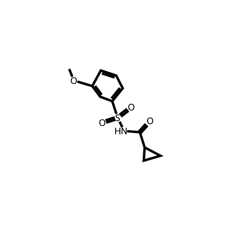 COc1cccc(S(=O)(=O)NC(=O)C2CC2)c1